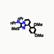 CCCN(CCC)c1c(SC)nc2c(-c3ccc(OC)cc3OC)cccn12